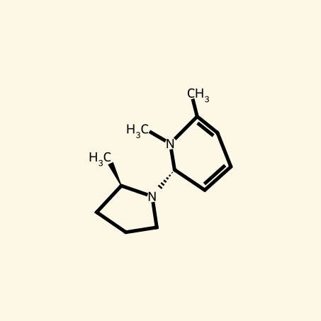 CC1=CC=C[C@H](N2CCC[C@H]2C)N1C